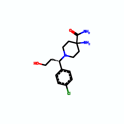 NC(=O)C1(N)CCN([C@@H](CCO)c2ccc(Cl)cc2)CC1